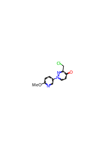 COc1ccc(-n2ccc(=O)c(CCl)n2)cn1